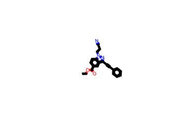 CCOC(=O)c1ccc2c(c1)c(C#Cc1ccccc1)nn2CCC#N